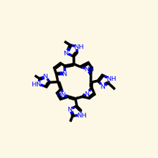 Cc1nc(-c2c3nc(c(-c4c[nH]c(C)n4)c4ccc([nH]4)c(-c4c[nH]c(C)n4)c4nc(c(-c5c[nH]c(C)n5)c5ccc2[nH]5)C=C4)C=C3)c[nH]1